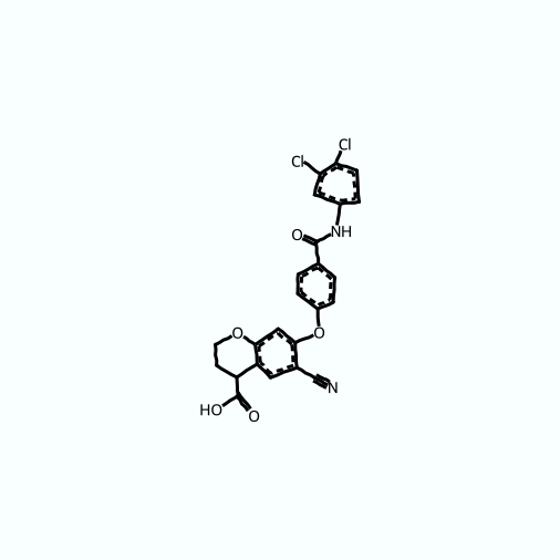 N#Cc1cc2c(cc1Oc1ccc(C(=O)Nc3ccc(Cl)c(Cl)c3)cc1)OCCC2C(=O)O